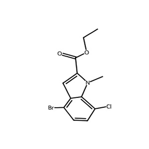 CCOC(=O)c1cc2c(Br)ccc(Cl)c2n1C